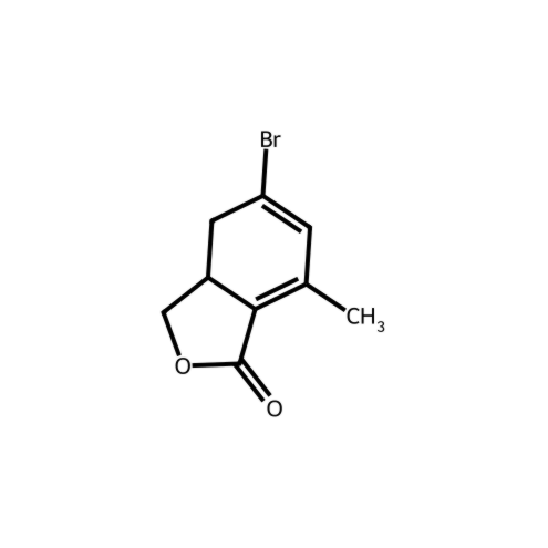 CC1=C2C(=O)OCC2CC(Br)=C1